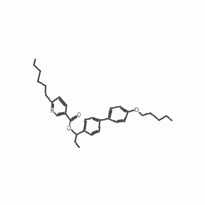 CCCCCCc1ccc(C(=O)OC(CC)c2ccc(-c3ccc(OCCCCC)cc3)cc2)cn1